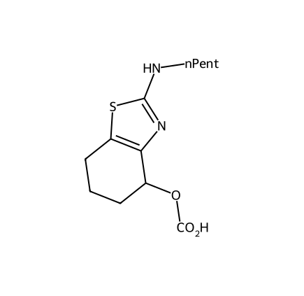 CCCCCNc1nc2c(s1)CCCC2OC(=O)O